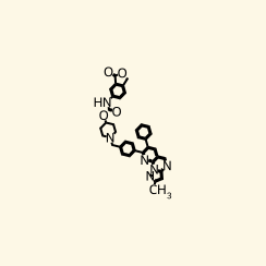 Cc1cc2ncc3cc(-c4ccccc4)c(-c4ccc(CN5CCC(OC(=O)Nc6ccc7c(c6)C(=O)OC7)CC5)cc4)nc3n2n1